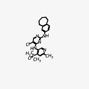 Cc1cc(P(C)(C)=O)c(Nc2nc(Nc3ccc4c(c3)CCCCC4)ncc2Cl)cn1